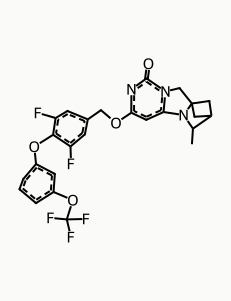 CC1C2CC3(C2)Cn2c(cc(OCc4cc(F)c(Oc5cccc(OC(F)(F)F)c5)c(F)c4)nc2=O)N13